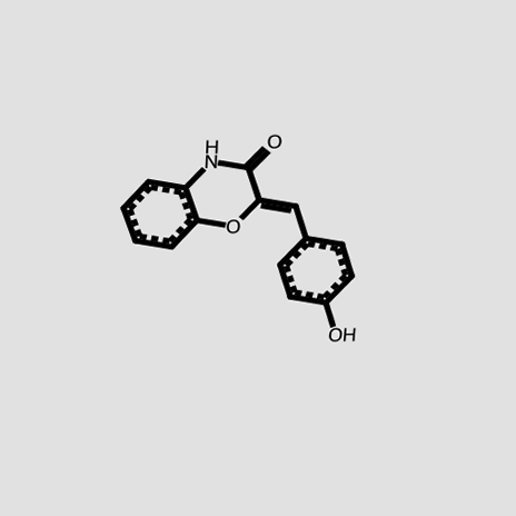 O=C1Nc2ccccc2O/C1=C\c1ccc(O)cc1